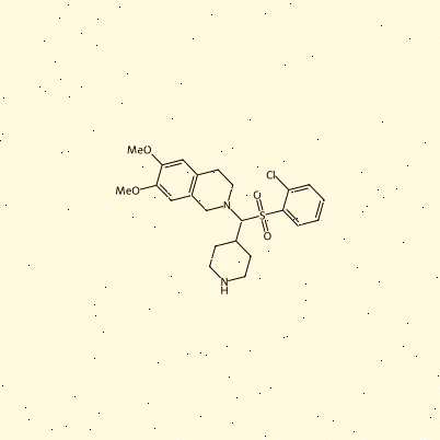 COc1cc2c(cc1OC)CN(C(C1CCNCC1)S(=O)(=O)c1ccccc1Cl)CC2